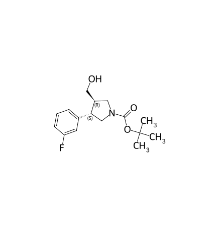 CC(C)(C)OC(=O)N1C[C@H](CO)[C@@H](c2cccc(F)c2)C1